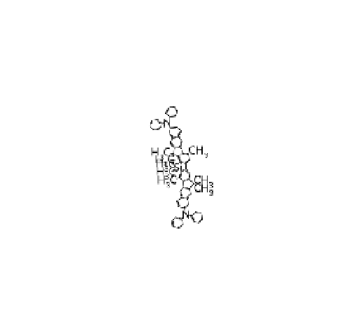 Cc1cc2c(c3c1-c1cc4ccc(N(c5ccccc5)c5ccccc5)cc4cc1C3(C)C)[Si](C)(C)c1c-2cc2c(c1C)-c1cc3ccc(N(c4ccccc4)c4ccccc4)cc3cc1C2(C)C